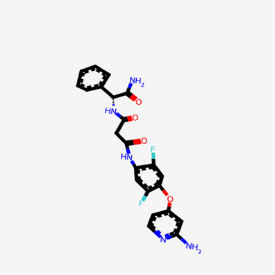 NC(=O)[C@H](NC(=O)CC(=O)Nc1cc(F)c(Oc2ccnc(N)c2)cc1F)c1ccccc1